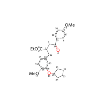 CCOC(=O)C(CC(=O)c1ccc(OC)cc1)Cc1ccc(OC)c(OC2CCCC2)c1